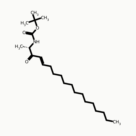 CCCCCCCCCCCCCC=CC(=O)[C@H](C)NC(=O)OC(C)(C)C